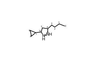 CCCCC1CC(C2CC2)NN1